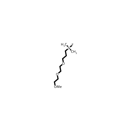 COCCOCCOCCC[Si](C)(C)F